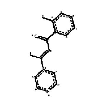 C/C(=C\C(=O)c1ccccc1C)c1ccncc1